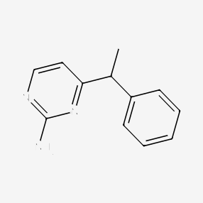 CC(c1ccccc1)c1ccnc(N)n1